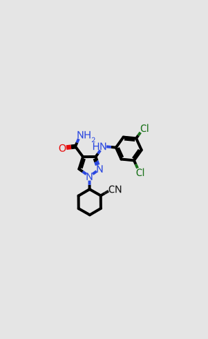 N#CC1CCCCC1n1cc(C(N)=O)c(Nc2cc(Cl)cc(Cl)c2)n1